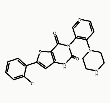 O=c1[nH]c2cc(-c3ccccc3Cl)sc2c(=O)n1-c1cnccc1N1CCNCC1